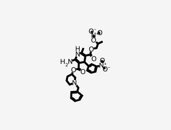 CC1=C(C(=O)OCC(C)O[N+](=O)[O-])C(c2cccc([N+](=O)[O-])c2)C(C(=O)OC2CCCN(Cc3ccccc3)C2)=C(N)N1